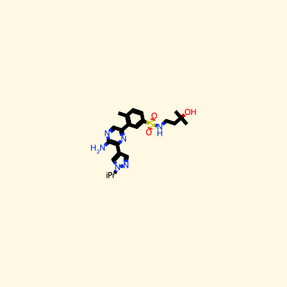 Cc1ccc(S(=O)(=O)NCCC(C)(C)O)cc1-c1cnc(N)c(-c2cnn(C(C)C)c2)n1